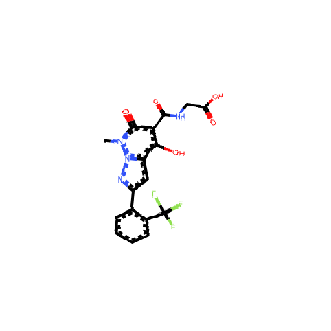 Cn1c(=O)c(C(=O)NCC(=O)O)c(O)c2cc(-c3ccccc3C(F)(F)F)nn21